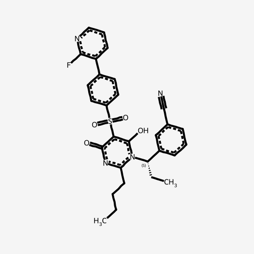 CCCCc1nc(=O)c(S(=O)(=O)c2ccc(-c3cccnc3F)cc2)c(O)n1[C@@H](CC)c1cccc(C#N)c1